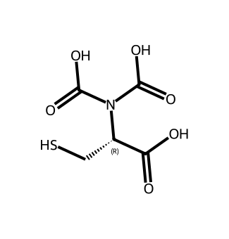 O=C(O)[C@H](CS)N(C(=O)O)C(=O)O